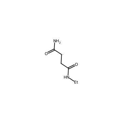 CCNC(=O)C[CH]C(N)=O